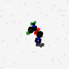 O=C(O)N1CCN(c2cccc(S(=O)(=O)c3cn(C(F)F)c4ccc(Cl)cc34)c2)CC1